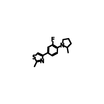 Cc1nc(-c2ccc(N3CCCC3C)c(F)c2)cs1